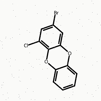 Clc1cc(Br)cc2c1Oc1ccccc1O2